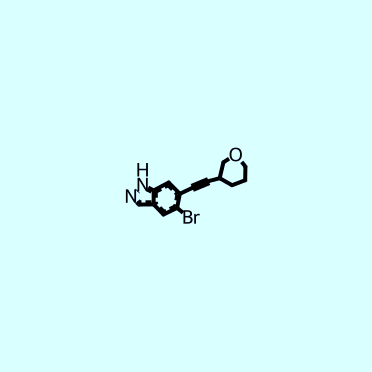 Brc1cc2cn[nH]c2cc1C#CC1CCCOC1